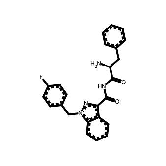 N[C@@H](Cc1ccccc1)C(=O)NC(=O)c1nn(Cc2ccc(F)cc2)c2ccccc12